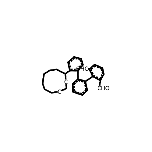 O=Cc1cccc(C=O)c1-c1ccccc1-c1ccccc1C1CCCCCCCCC1